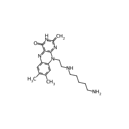 C=c1nc2c(c(=O)[nH]1)=Nc1cc(C)c(C)cc1N2CCNCCCCCN